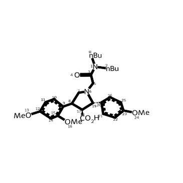 CCCCN(CCCC)C(=O)CN1CC(c2ccc(OC)cc2OC)[C@H](C(=O)O)[C@H]1c1ccc(OC)cc1